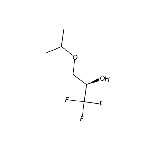 CC(C)OC[C@@H](O)C(F)(F)F